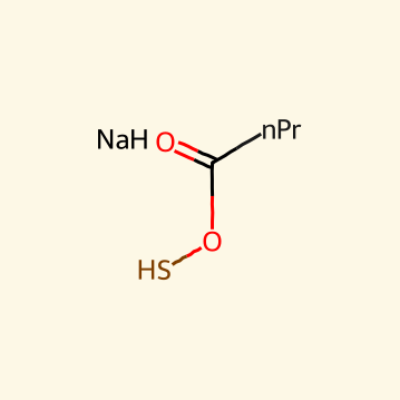 CCCC(=O)OS.[NaH]